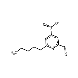 CCCCCc1cc([N+](=O)[O-])cc(N=O)n1